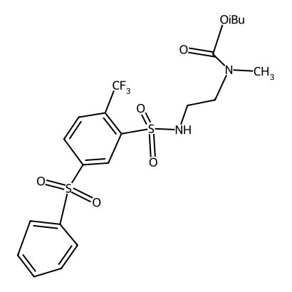 CC(C)COC(=O)N(C)CCNS(=O)(=O)c1cc(S(=O)(=O)c2ccccc2)ccc1C(F)(F)F